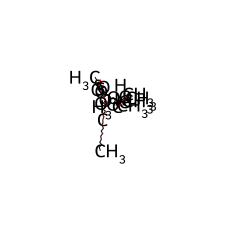 CCCCCCCCCCCCCCCCCC(=O)OC[C@H](CCOC(=O)[C@@H](NC(=O)OC(C)(C)C)C(C)C)COS(=O)(=O)c1ccc(C)cc1